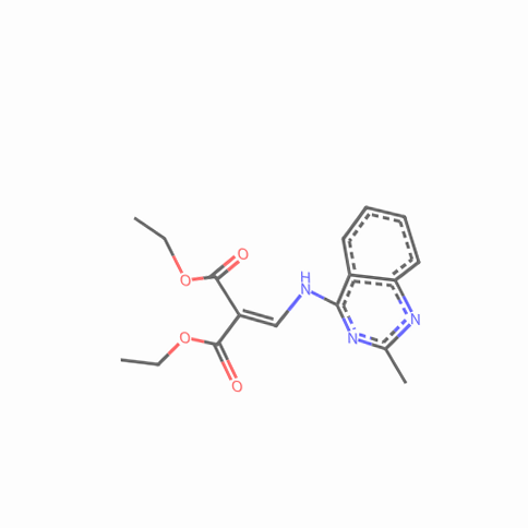 CCOC(=O)C(=CNc1nc(C)nc2ccccc12)C(=O)OCC